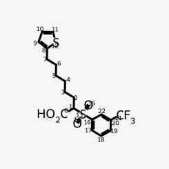 O=C(O)C(CCCCCCc1cccs1)S(=O)(=O)c1cccc(C(F)(F)F)c1